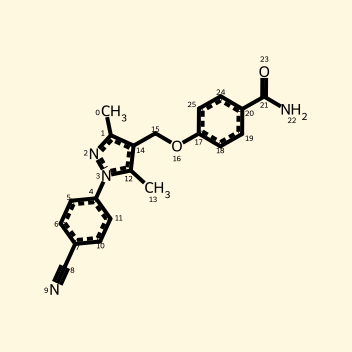 Cc1nn(-c2ccc(C#N)cc2)c(C)c1COc1ccc(C(N)=O)cc1